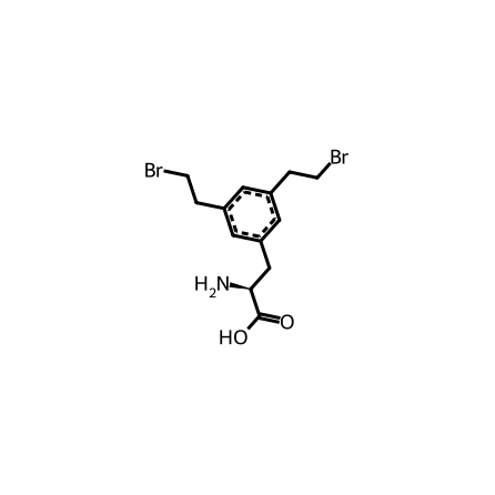 N[C@@H](Cc1cc(CCBr)cc(CCBr)c1)C(=O)O